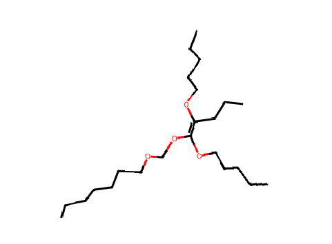 CCCCCCCOCOC(OCCCCC)=C(CCC)OCCCCC